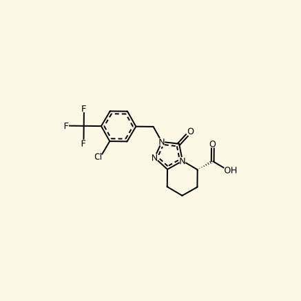 O=C(O)[C@@H]1CCCc2nn(Cc3ccc(C(F)(F)F)c(Cl)c3)c(=O)n21